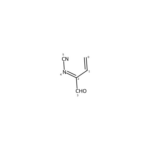 C=CC(C=O)=NC#N